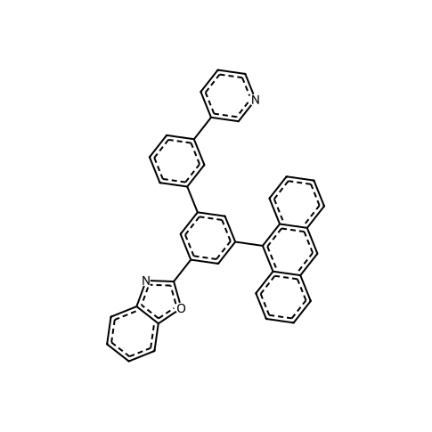 c1cncc(-c2cccc(-c3cc(-c4nc5ccccc5o4)cc(-c4c5ccccc5cc5ccccc45)c3)c2)c1